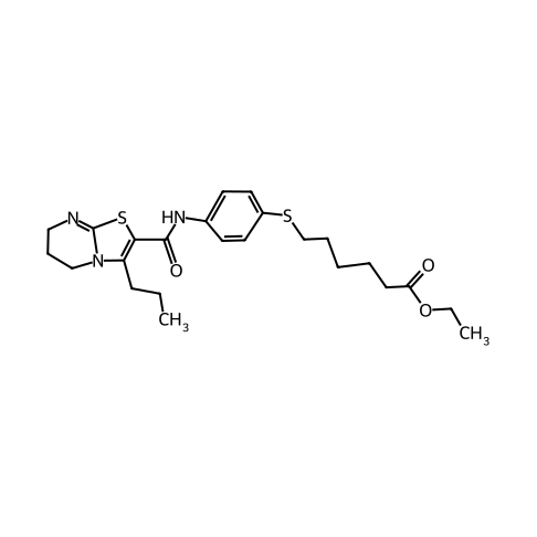 CCCC1=C(C(=O)Nc2ccc(SCCCCCC(=O)OCC)cc2)SC2=NCCCN21